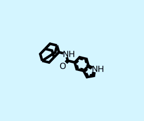 O=C(NC1C2CC3CC(C2)CC1C3)c1ccc2[nH]ccc2c1